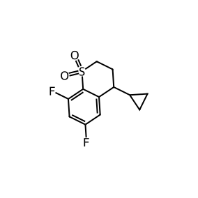 O=S1(=O)CCC(C2CC2)c2cc(F)cc(F)c21